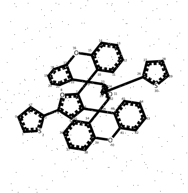 c1csc(-c2cc3c(o2)C2(c4ccccc4Oc4ccccc42)c2cc(-c4cccs4)oc2C32c3ccccc3Oc3ccccc32)c1